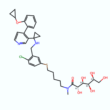 CN(CCCCCSc1ccc(Cl)c(CNC2(c3cnccc3-c3ccccc3OC3CC3)CC2)c1)C(=O)[C@@H](O)[C@@H](O)[C@H](O)[C@@H](O)CO